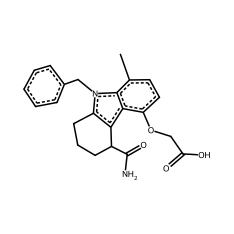 Cc1ccc(OCC(=O)O)c2c3c(n(Cc4ccccc4)c12)CCCC3C(N)=O